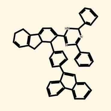 C1=CC2=C(CC1)C1=CC=C(C3=NC(c4ccccc4)=NC(c4ccccc4)N3)C(c3ccc(-c4cc5ccccc5c5ccccc45)cc3)C1C2